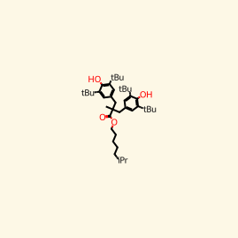 CC(C)CCCCCOC(=O)C(C)(Cc1cc(C(C)(C)C)c(O)c(C(C)(C)C)c1)Cc1cc(C(C)(C)C)c(O)c(C(C)(C)C)c1